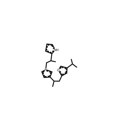 CC(C)c1coc(CC(C)c2ccn(CC(C)c3ccc[nH]3)c2)c1